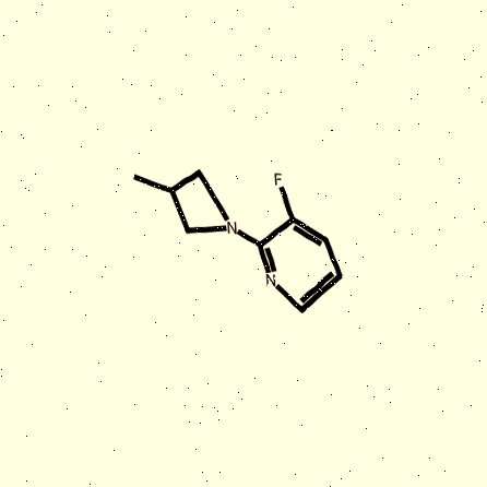 CC1CN(c2ncccc2F)C1